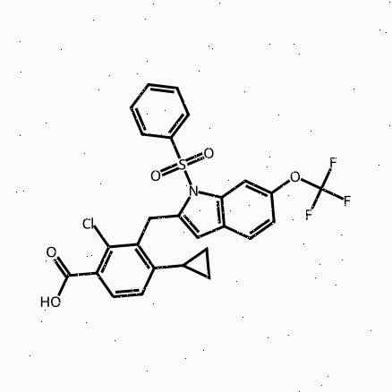 O=C(O)c1ccc(C2CC2)c(Cc2cc3ccc(OC(F)(F)F)cc3n2S(=O)(=O)c2ccccc2)c1Cl